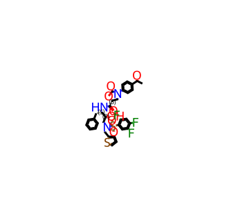 CC(=O)c1ccc(N2C[C@@H](C(=O)N[C@@H](Cc3ccccc3)[C@H](O)CN(Cc3cccs3)S(=O)(=O)c3cc(F)c(F)cc3F)OC2=O)cc1